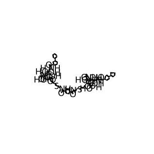 CC(=O)N[C@H]1[C@H]([C@H](O)[C@H](O)CNC(=O)Cc2ccc(-c3ccccc3)cc2)O[C@@](OCCCSCCNC(=O)c2ccc(C(=O)NCCSCCCO[C@]3(C(=O)O)C[C@H](O)[C@@H](NC(C)=O)[C@H]([C@H](O)[C@H](O)CNC(=O)c4cccc(-c5ccccc5)c4)O3)cc2)(C(=O)O)C[C@@H]1O